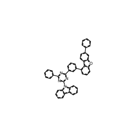 c1ccc(-c2ccc3c(c2)oc2cccc(-c4cccc(-c5nc(-c6ccccc6)nc(-n6c7ccccc7c7ccccc76)n5)c4)c23)cc1